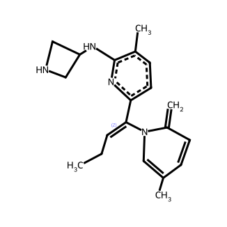 C=C1C=CC(C)=CN1/C(=C\CC)c1ccc(C)c(NC2CNC2)n1